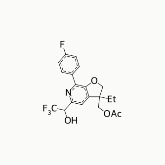 CCC1(COC(C)=O)COc2c1cc(C(O)C(F)(F)F)nc2-c1ccc(F)cc1